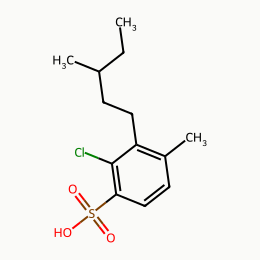 CCC(C)CCc1c(C)ccc(S(=O)(=O)O)c1Cl